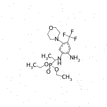 CCOP(=O)(OCC)C(C)Nc1cc(N2CCOCC2)c(C(F)(F)F)cc1N